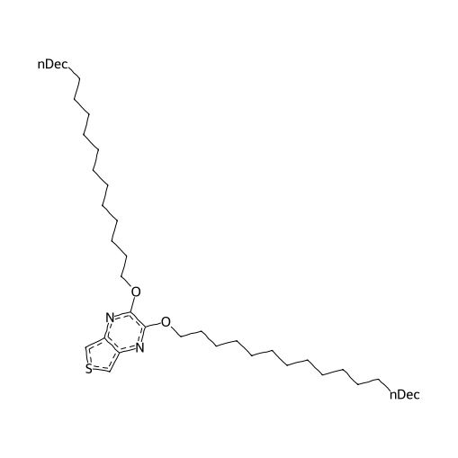 CCCCCCCCCCCCCCCCCCCCCCOc1nc2cscc2nc1OCCCCCCCCCCCCCCCCCCCCCC